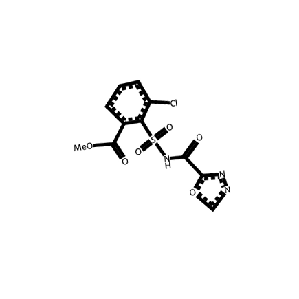 COC(=O)c1cccc(Cl)c1S(=O)(=O)NC(=O)c1nnco1